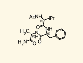 CC(=O)N[C@H](C(=O)N[C@@H](Cc1ccccc1)C(=O)N[C@@H](C)C(N)=O)C(C)C